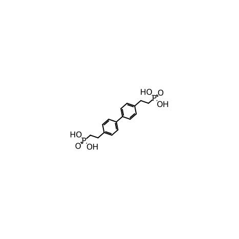 O=P(O)(O)CCc1ccc(-c2ccc(CCP(=O)(O)O)cc2)cc1